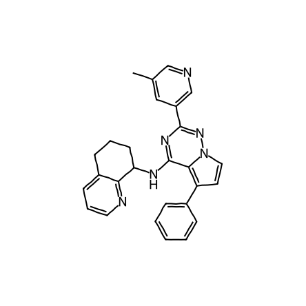 Cc1cncc(-c2nc(NC3CCCc4cccnc43)c3c(-c4ccccc4)ccn3n2)c1